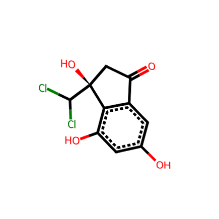 O=C1C[C@@](O)(C(Cl)Cl)c2c(O)cc(O)cc21